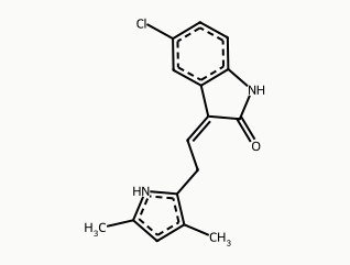 Cc1cc(C)c(CC=C2C(=O)Nc3ccc(Cl)cc32)[nH]1